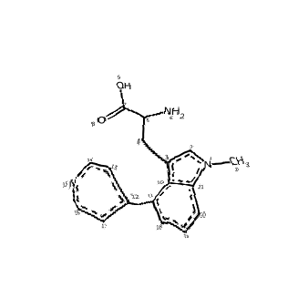 Cn1cc(CC(N)C(=O)O)c2c(-c3ccncc3)cccc21